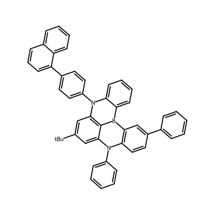 CC(C)(C)c1cc2c3c(c1)N(c1ccccc1)c1ccc(-c4ccccc4)cc1B3c1ccccc1N2c1ccc(-c2cccc3ccccc23)cc1